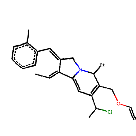 C=COCC1=C(C(C)Cl)C=C2C(=C/C)/C(=C\c3ccccc3C)CN2C1CC